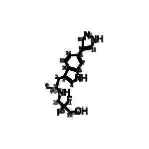 C[C@H](Cc1c[nH]c2cc(-c3cn[nH]c3)ccc12)NCC(F)(F)CO